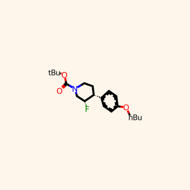 CCCCOc1ccc([C@H]2CCN(C(=O)OC(C)(C)C)C[C@H]2F)cc1